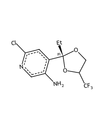 CC[C@@]1(c2cc(Cl)ncc2N)OCC(C(F)(F)F)O1